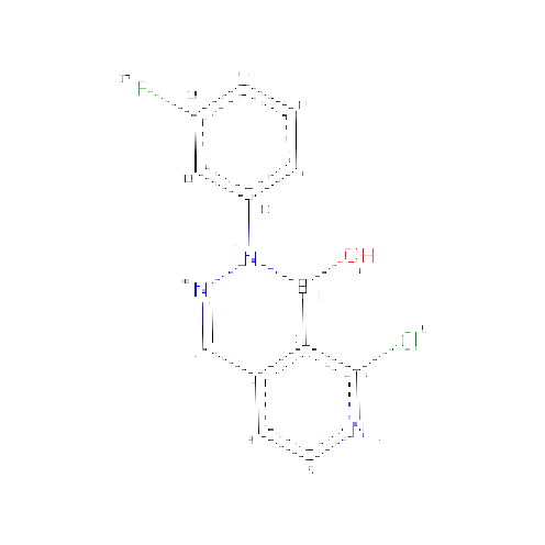 OB1c2c(ccnc2Cl)C=NN1c1cccc(F)c1